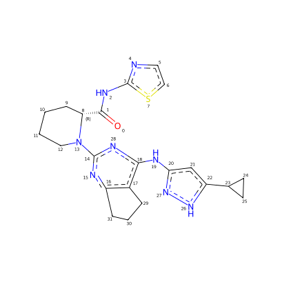 O=C(Nc1nccs1)[C@H]1CCCCN1c1nc2c(c(Nc3cc(C4CC4)[nH]n3)n1)CCC2